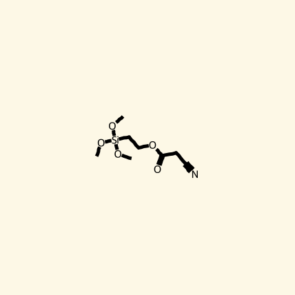 CO[Si](CCOC(=O)CC#N)(OC)OC